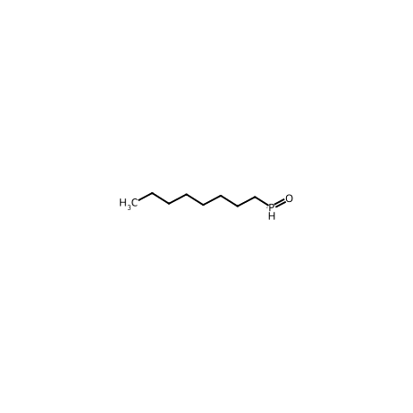 CCCCCCCC[PH]=O